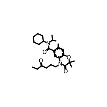 CCC(=O)CCCN1C(=O)C(C)(C)Oc2cc(C)c(C(=O)N(C(C)C)C3CCCCC3)cc21